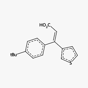 CC(C)(C)c1ccc(/C(=C\C(=O)O)c2ccsc2)cc1